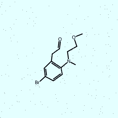 COCCN(C)c1ccc(Br)cc1CC=O